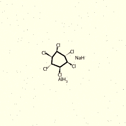 Cl[C@H]1[C@H](Cl)[C@@H](Cl)[C@@H](Cl)[C@H](Cl)[C@H]1Cl.[AlH3].[NaH]